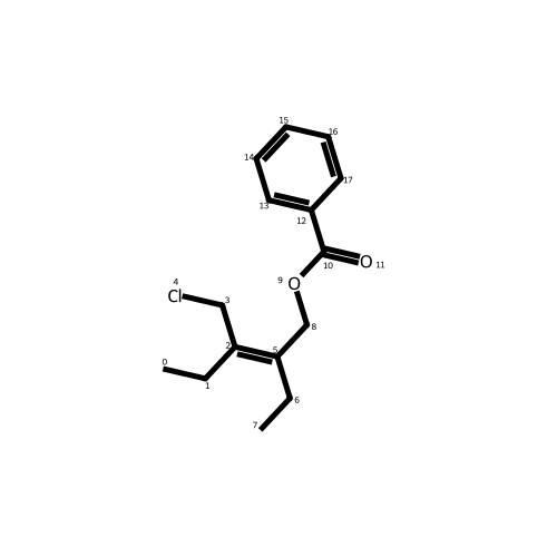 CCC(CCl)=C(CC)COC(=O)c1ccccc1